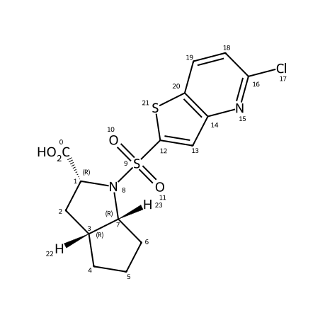 O=C(O)[C@H]1C[C@H]2CCC[C@H]2N1S(=O)(=O)c1cc2nc(Cl)ccc2s1